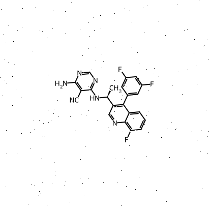 C[C@H](Nc1ncnc(N)c1C#N)c1cnc2c(F)cccc2c1-c1cc(F)cc(F)c1